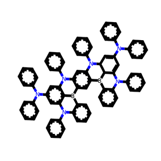 C1=C(N(c2ccccc2)c2ccccc2)C=C2C3B(c4ccccc4N2c2ccccc2)c2cc4c(cc2N(c2ccccc2)C13)N(c1ccccc1)c1cc(N(c2ccccc2)c2ccccc2)cc2c1B4c1ccccc1N2c1ccccc1